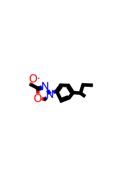 CCC(C)c1ccc(N2COC(C[O])=N2)cc1